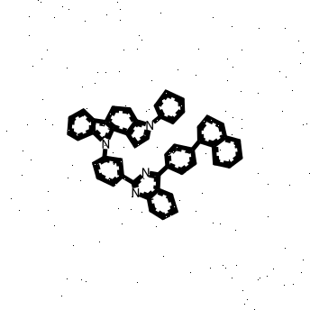 c1ccc(-n2ccc3c2ccc2c4ccccc4n(-c4cccc(-c5nc(-c6ccc(-c7cccc8ccccc78)cc6)c6ccccc6n5)c4)c23)cc1